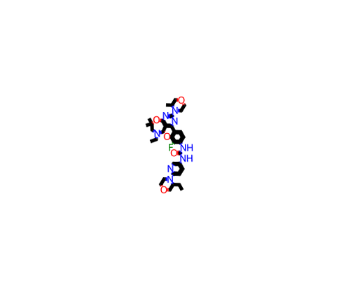 CCC1COCCN1c1ccc(NC(=O)Nc2ccc(-c3nc(N4CCOCC4C)nc4c3C(=O)N(CC)CC(C)(C)O4)cc2F)cn1